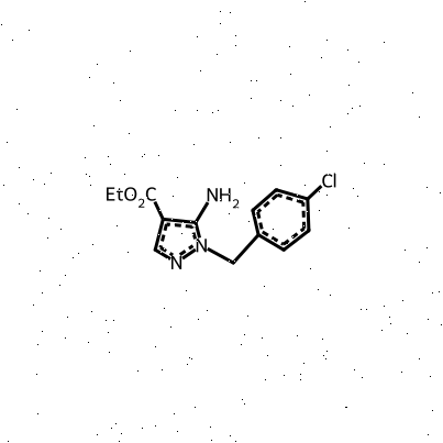 CCOC(=O)c1cnn(Cc2ccc(Cl)cc2)c1N